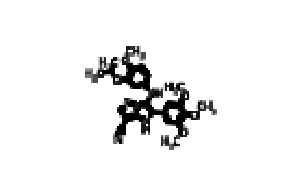 COc1ccc(Nc2c(-c3cc(OC)c(OC)c(OC)c3)[nH]c3c(C#N)cnn23)cc1OC(C)C